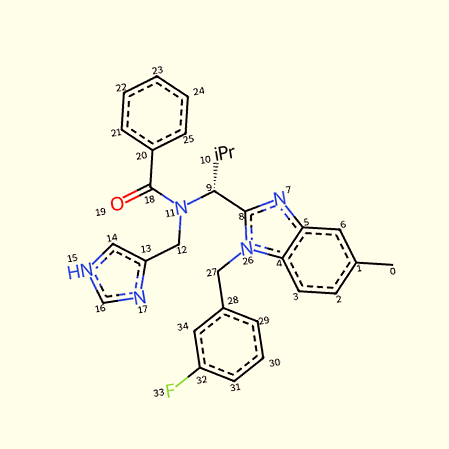 Cc1ccc2c(c1)nc([C@@H](C(C)C)N(Cc1c[nH]cn1)C(=O)c1ccccc1)n2Cc1cccc(F)c1